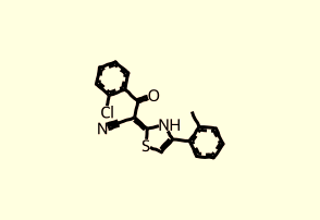 Cc1ccccc1C1=CS/C(=C(\C#N)C(=O)c2ccccc2Cl)N1